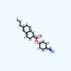 CCCC1CCC2CC(C(=O)OC3CCC(C#N)CC3)CCC2C1